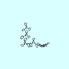 [Mo+4].[Mo+4].[Mo+4].[O-]P([O-])[O-].[O-]P([O-])[O-].[O-]P([O-])[O-].[O-]P([O-])[O-]